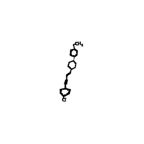 CCc1ccc([C@H]2CC[C@H](/C=C/C#Cc3ccc(Cl)cc3)CC2)cc1